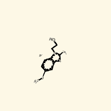 COc1ccc2c(c1)sc(C)[n+]2CCO.[Br-]